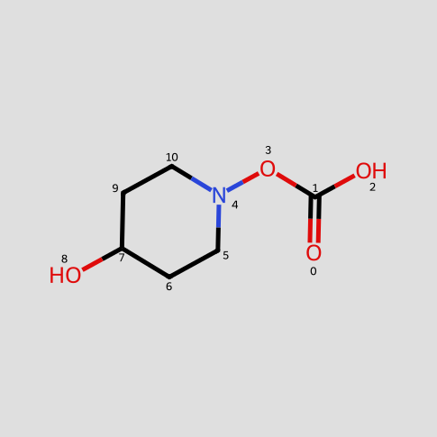 O=C(O)ON1CCC(O)CC1